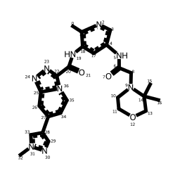 Cc1ncc(NC(=O)CN2CCOCC2(C)C)cc1NC(=O)c1nnc2cc(-c3cnn(C)c3)ccn12